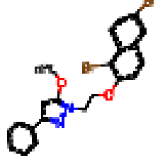 CCCOc1cc(-c2ccccc2)nn1CCOc1ccc2cc(Br)ccc2c1Br